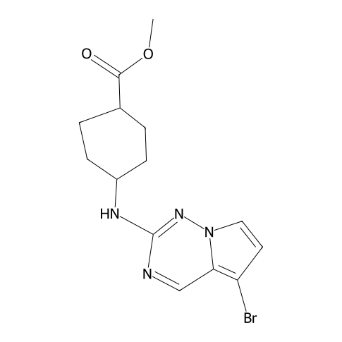 COC(=O)C1CCC(Nc2ncc3c(Br)ccn3n2)CC1